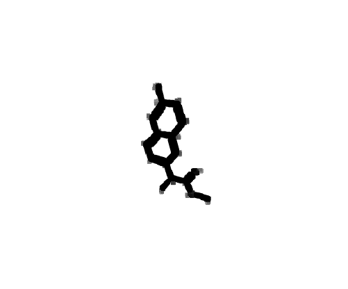 COC(=O)[C@@H](C)c1ccc2cc(C)ccc2c1